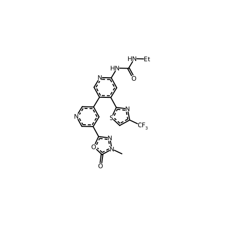 CCNC(=O)Nc1cc(-c2nc(C(F)(F)F)cs2)c(-c2cncc(-c3nn(C)c(=O)o3)c2)cn1